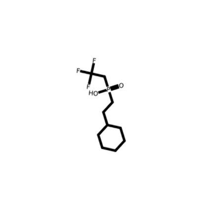 O=P(O)(CCC1CCCCC1)CC(F)(F)F